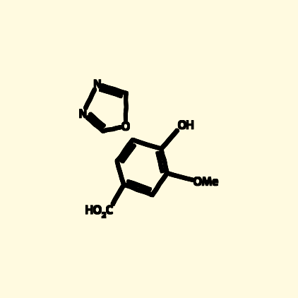 COc1cc(C(=O)O)ccc1O.c1nnco1